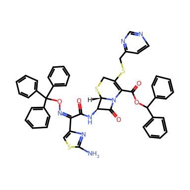 Nc1nc(/C(=N/OC(c2ccccc2)(c2ccccc2)c2ccccc2)C(=O)N[C@@H]2C(=O)N3C(C(=O)OC(c4ccccc4)c4ccccc4)=C(SCc4ccncn4)CS[C@@H]23)cs1